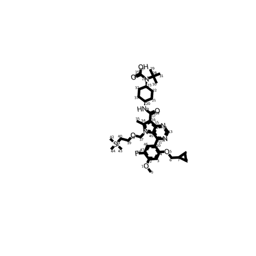 COc1cc(OCC2CC2)c(-c2ncnc3c(C(=O)N[C@H]4CC[C@H](N(C(=O)O)C(C)(C)C)CC4)c(C)n(COCC[Si](C)(C)C)c23)cc1F